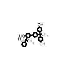 CC(C)(c1ccccc1)c1cc(-c2ccc(C(C)(c3ccc(O)cc3)c3ccc(O)cc3)cc2)ccc1O